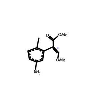 Bc1ccc(C)c(/C(=C\OC)C(=O)OC)c1